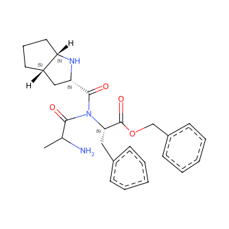 CC(N)C(=O)N(C(=O)[C@@H]1C[C@@H]2CCC[C@@H]2N1)[C@@H](Cc1ccccc1)C(=O)OCc1ccccc1